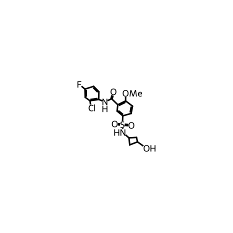 COc1ccc(S(=O)(=O)NC2CC(O)C2)cc1C(=O)Nc1ccc(F)cc1Cl